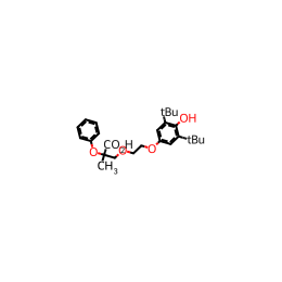 CC(COCCOc1cc(C(C)(C)C)c(O)c(C(C)(C)C)c1)(Oc1ccccc1)C(=O)O